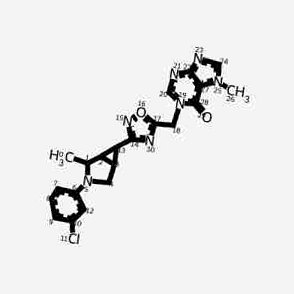 CC1C2C(CN1c1cccc(Cl)c1)C2c1noc(Cn2cnc3ncn(C)c3c2=O)n1